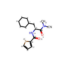 CN(C#N)C(=O)[C@H](CC1CCCCC1)NC(=O)c1cccs1